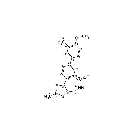 COc1ccc(-c2ccc3c(c2)C(=O)NCC2CN(C)CC32)cc1C